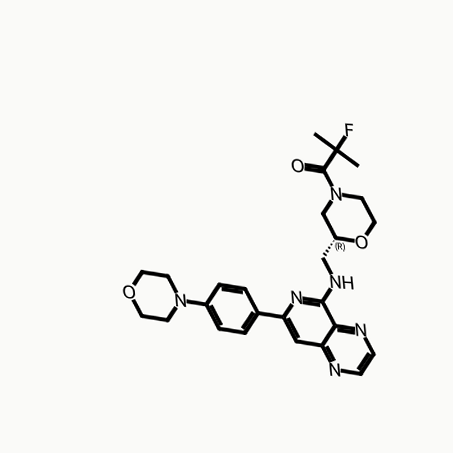 CC(C)(F)C(=O)N1CCO[C@H](CNc2nc(-c3ccc(N4CCOCC4)cc3)cc3nccnc23)C1